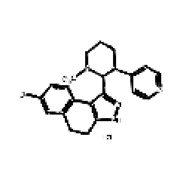 Cl.O=C(O)N1CCCC(c2ccncc2)C1c1n[nH]c2c1-c1ccc(Cl)cc1CC2